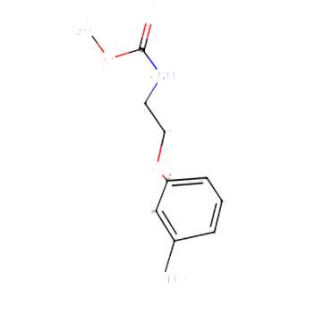 CC(C)(C)OC(=O)NCCOc1cccc(C=O)c1